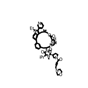 CCn1c(-c2cccnc2)c2c3cc(ccc31)-c1cccc(c1)C[C@H](NC(=O)C(C(C)C)N(C)C(=O)[C@H]1CCN(C(=O)C#CCN3CCOCC3)C1)C(=O)N1CCC[C@H](N1)C(=O)OCC(C)(C)C2